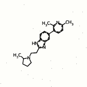 Cc1ccc(-c2ccc3[nH]c(CCN4CCCC4C)nc3c2)c(C)n1